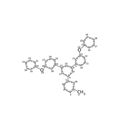 Cc1cccc(-c2cc(-c3cccc(Oc4ccccc4)c3)cc(-c3cccc(Oc4ccccc4)c3)c2)c1